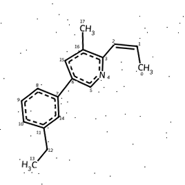 C/C=C\c1ncc(-c2cccc(CC)c2)cc1C